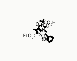 CCOC(=O)c1sc2c(c1C)c(=O)n(C(C)(C)C(=O)O)c(=O)n2C[C@H](OC(C)(C)C)c1ccccc1